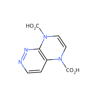 O=C(O)N1C=CN(C(=O)O)c2nnccc21